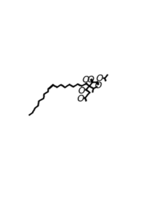 CCCCCCCC/C=C\CCCCCCCC(=O)C(C(=O)CC(C)=O)(C(=O)C(=O)OC(C)C)C(C)C